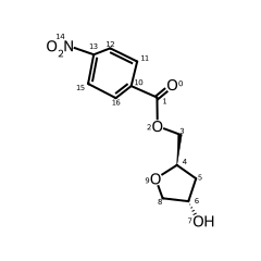 O=C(OC[C@H]1C[C@H](O)CO1)c1ccc([N+](=O)[O-])cc1